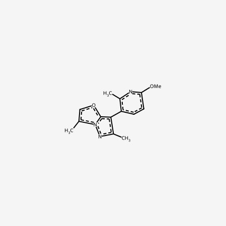 COc1ccc(-c2c(C)nn3c(C)coc23)c(C)n1